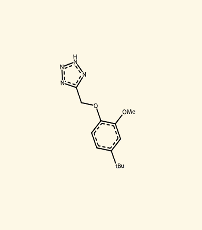 COc1cc(C(C)(C)C)ccc1OCc1nn[nH]n1